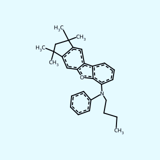 CCCCN(c1ccccc1)c1cccc2c1oc1cc3c(cc12)C(C)(C)CC3(C)C